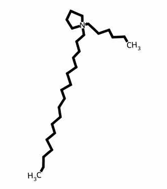 CCCCCCCCCCCCCCCCCC[N+]1(CCCCCC)CCCC1